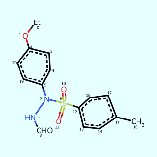 CCOc1ccc(N(NC=O)S(=O)(=O)c2ccc(C)cc2)cc1